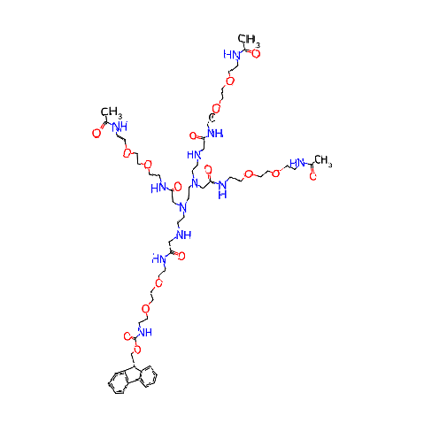 CC(=O)NCCOCCOCCNC(=O)CNCCN(CCN(CCNCC(=O)NCCOCCOCCNC(=O)OCC1c2ccccc2-c2ccccc21)CC(=O)NCCOCCOCCNC(C)=O)CC(=O)NCCOCCOCCNC(C)=O